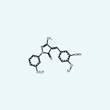 CCOc1ccc(/C=C2\C(=O)N(c3cccc(C(=O)O)c3)N=C2C)cc1OC